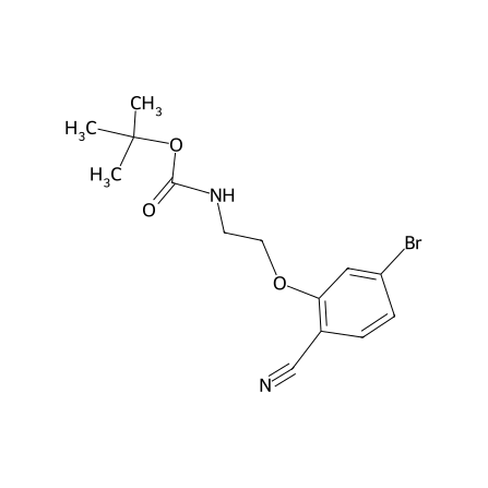 CC(C)(C)OC(=O)NCCOc1cc(Br)ccc1C#N